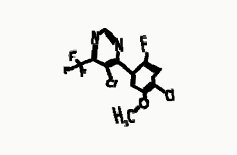 COc1cc(-c2ncnc(C(F)(F)F)c2Cl)c(F)cc1Cl